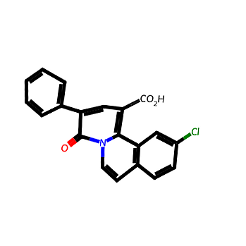 O=C(O)c1cc(-c2ccccc2)c(=O)n2ccc3ccc(Cl)cc3c12